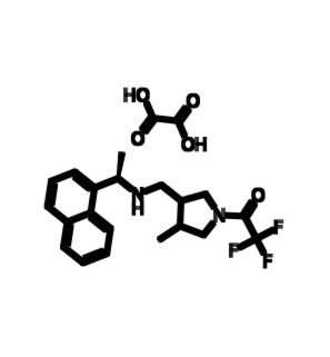 CC1CN(C(=O)C(F)(F)F)CC1CN[C@H](C)c1cccc2ccccc12.O=C(O)C(=O)O